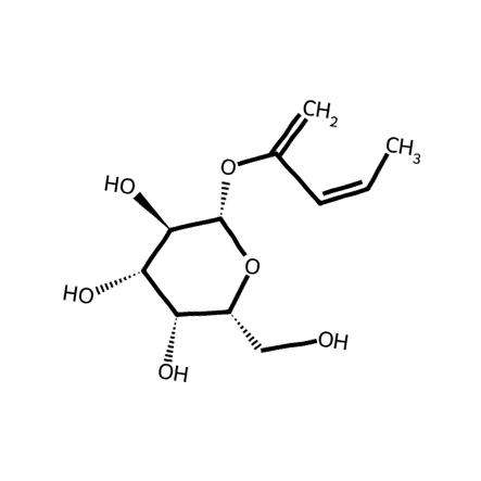 C=C(/C=C\C)O[C@@H]1O[C@H](CO)[C@H](O)[C@H](O)[C@H]1O